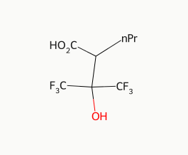 CCCC(C(=O)O)C(O)(C(F)(F)F)C(F)(F)F